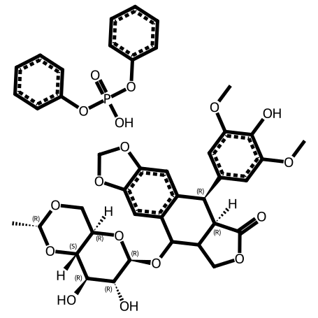 COc1cc([C@@H]2c3cc4c(cc3C(O[C@@H]3O[C@@H]5CO[C@@H](C)O[C@H]5[C@H](O)[C@H]3O)C3COC(=O)[C@@H]32)OCO4)cc(OC)c1O.O=P(O)(Oc1ccccc1)Oc1ccccc1